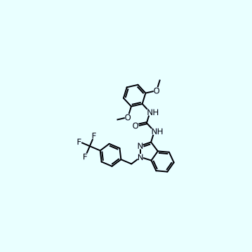 COc1cccc(OC)c1NC(=O)Nc1nn(Cc2ccc(C(F)(F)F)cc2)c2ccccc12